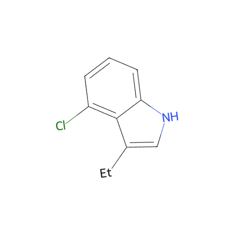 [CH2]Cc1c[nH]c2cccc(Cl)c12